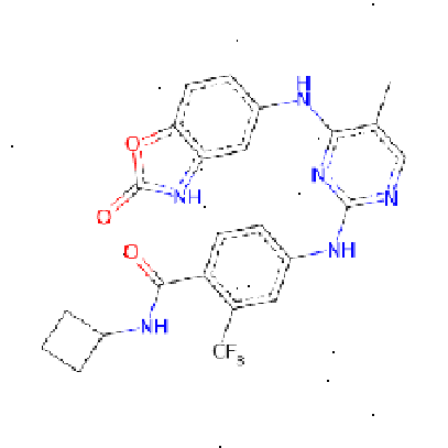 Cc1cnc(Nc2ccc(C(=O)NC3CCC3)c(C(F)(F)F)c2)nc1Nc1ccc2oc(=O)[nH]c2c1